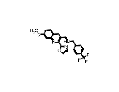 COc1ccc2cc(CNCc3ccc(C(F)(F)F)cc3)c(-c3ncco3)nc2c1